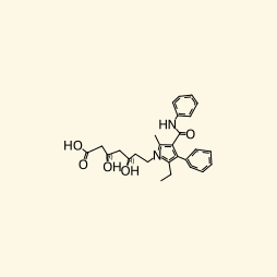 CCc1c(-c2ccccc2)c(C(=O)Nc2ccccc2)c(C)n1CC[C@@H](O)C[C@@H](O)CC(=O)O